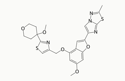 COc1cc(OCc2csc(C3(OC)CCOCC3)n2)c2cc(-c3cn4nc(C)sc4n3)oc2c1